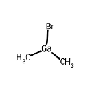 [CH3][Ga]([CH3])[Br]